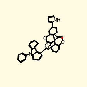 C1=CC2OC3=CCCCC3C3(C4=C(CC(c5ccc[nH]5)CC4)OC4=C3CCC(c3cccc5c3c3ccccc3n5-c3ccccc3)C4)C2C=C1